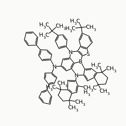 Cc1cc2c(cc1N1c3cc4c(cc3B3c5sc6ccc(C(C)(C)C)cc6c5N(c5ccc(C(C)(C)C)cc5)c5cc(N(c6ccc(-c7ccccc7)cc6)c6ccc(-c7ccccc7)cc6)cc1c53)C(C)(C)CCC4(C)C)C(C)(C)CCC2(C)C